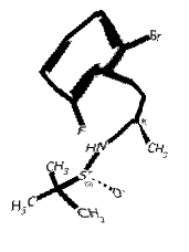 C[C@H](Cc1c(F)cccc1Br)N[S@+]([O-])C(C)(C)C